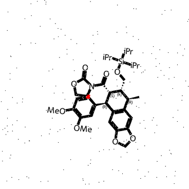 COc1ccc([C@@H]2c3cc4c(cc3[C@H](C)[C@@H](CO[Si](C(C)C)(C(C)C)C(C)C)[C@H]2C(=O)N2CCOC2=O)OCO4)cc1OC